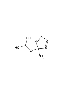 NC1(OP(O)O)N=CN=N1